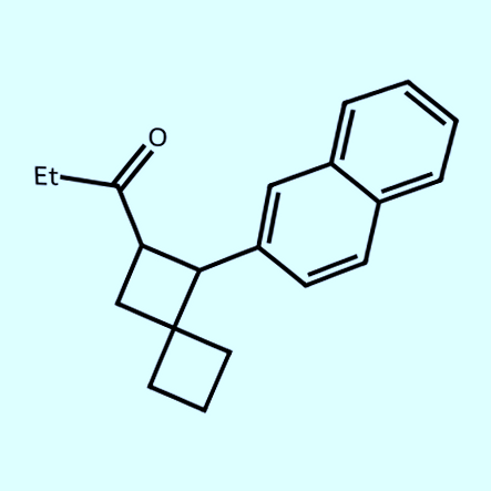 CCC(=O)C1CC2(CCC2)C1c1ccc2ccccc2c1